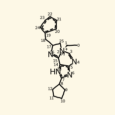 CC[N@@+]12C=Nc3nc(C4CCCC4)[nH]c3C1=NC(Cc1ccccc1)C2